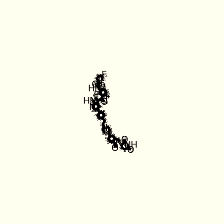 O=C1CCC(N2Cc3cc(N4CCN(CCc5ccc(-c6cnc7[nH]cc(C(=O)c8c(F)ccc(NS(=O)(=O)N9CC[C@@H](F)C9)c8F)c7c6)cc5)CC4)ccc3C2=O)C(=O)N1